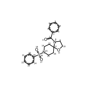 O=C(c1ccccc1)N1CCOC12CCN(S(=O)(=O)c1ccccc1)CC2